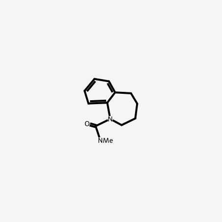 CNC(=O)N1CCCCc2ccccc21